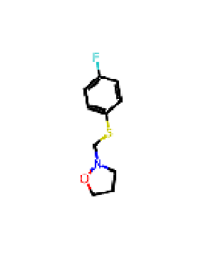 Fc1ccc(SCN2CCCO2)cc1